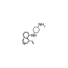 C=Cc1cncc2cccc(NC3CCC(N)CC3)c12